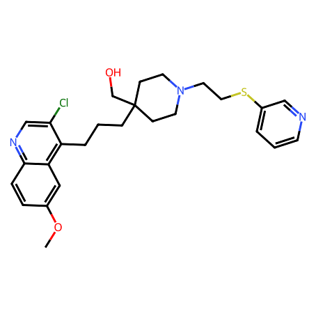 COc1ccc2ncc(Cl)c(CCCC3(CO)CCN(CCSc4cccnc4)CC3)c2c1